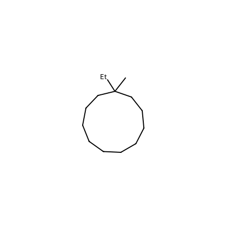 [CH2]CC1(C)CCCCCCCCCC1